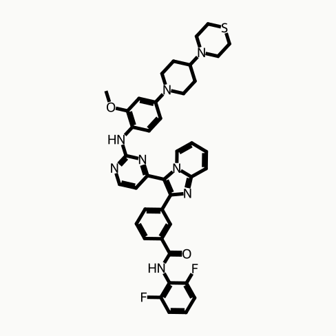 COc1cc(N2CCC(N3CCSCC3)CC2)ccc1Nc1nccc(-c2c(-c3cccc(C(=O)Nc4c(F)cccc4F)c3)nc3ccccn23)n1